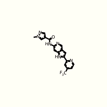 Cn1cc(C(=O)Nc2cc3[nH]c(-c4cc(C(F)(F)F)ccn4)cc3cn2)cn1